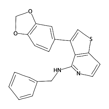 c1ccc(CNc2nccc3scc(-c4ccc5c(c4)OCO5)c23)cc1